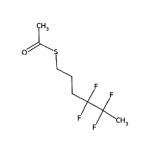 CC(=O)SCCCC(F)(F)C(C)(F)F